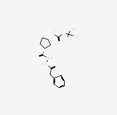 CC(C)(C)OC(=O)N[C@H]1CC[C@H](C(=O)NNC(=O)Cc2ccccc2)C1